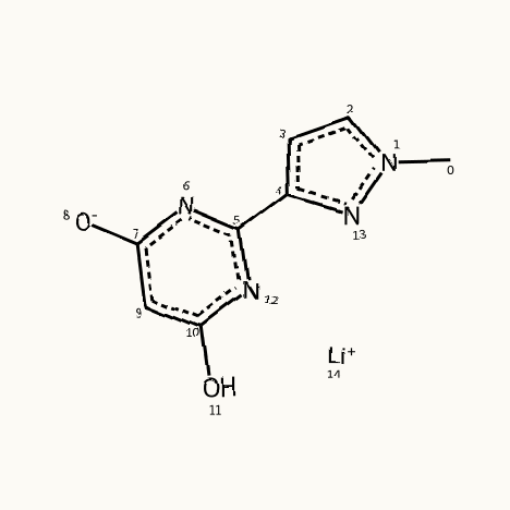 Cn1ccc(-c2nc([O-])cc(O)n2)n1.[Li+]